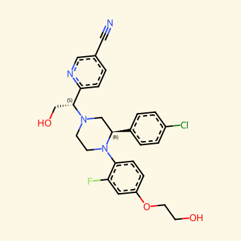 N#Cc1ccc([C@@H](CO)N2CCN(c3ccc(OCCO)cc3F)[C@H](c3ccc(Cl)cc3)C2)nc1